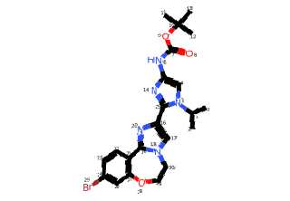 CC(C)n1cc(NC(=O)OC(C)(C)C)nc1-c1cn2c(n1)-c1ccc(Br)cc1OCC2